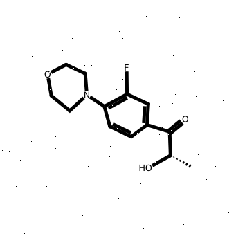 C[C@H](O)C(=O)c1ccc(N2CCOCC2)c(F)c1